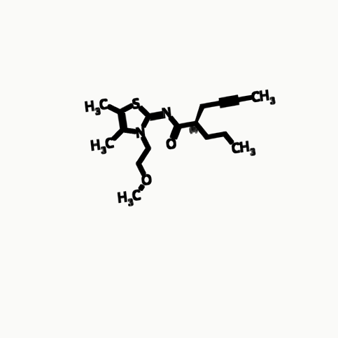 CC#CC[C@@H](CCC)C(=O)N=c1sc(C)c(C)n1CCOC